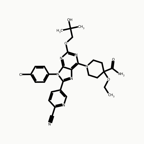 CCOC1(C(N)=O)CCN(c2nc(OCC(C)(C)O)nc3c2nc(-c2ccc(C#N)nc2)n3-c2ccc(Cl)cc2)CC1